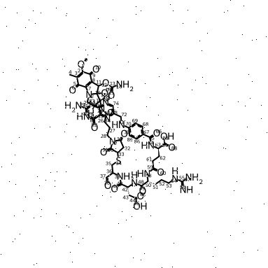 COC1=C(C)C(=O)C2=C(C1=O)C(OC(N)=O)[C@]1(OC)[C@H]3[C@@H](CN21)N3C(=O)CCCN1C(=O)CC(SCC(C=O)NC(=O)[C@@H](CC(=O)O)NC(=O)[C@@H](CCCNC(=N)N)NC(=O)CC[C@@H](NC(=O)c2ccc(NCc3cnc4nc(N)[nH]c(=O)c4n3)cc2)C(=O)O)C1=O